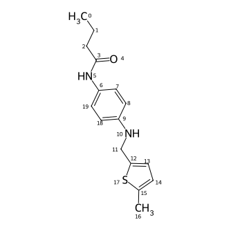 CCCC(=O)Nc1ccc(NCc2ccc(C)s2)cc1